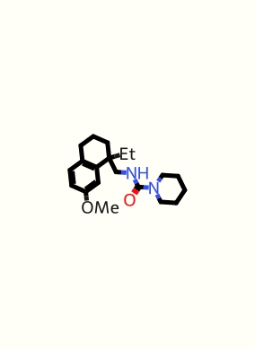 CCC1(CNC(=O)N2CCCCC2)CCCc2ccc(OC)cc21